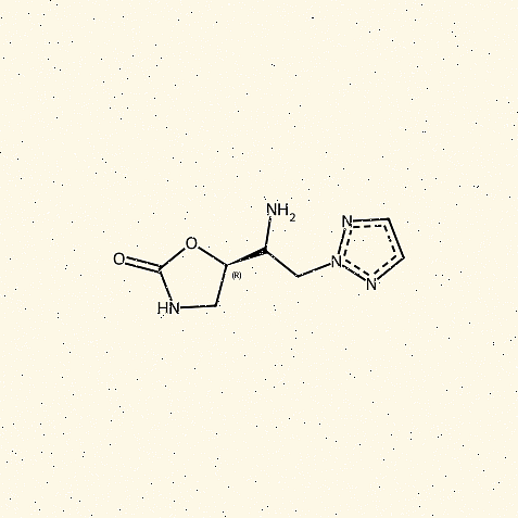 NC(Cn1nccn1)[C@H]1CNC(=O)O1